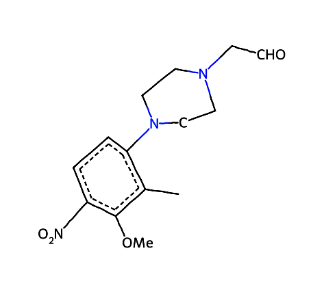 COc1c([N+](=O)[O-])ccc(N2CCN(CC=O)CC2)c1C